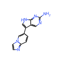 Nc1ncc2c(-c3ccc4nccn4c3)c[nH]c2n1